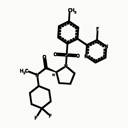 Cc1ccc(S(=O)(=O)N2CCC[C@H]2C(=O)N(C)C2CCC(F)(F)CC2)c(-c2nccnc2F)c1